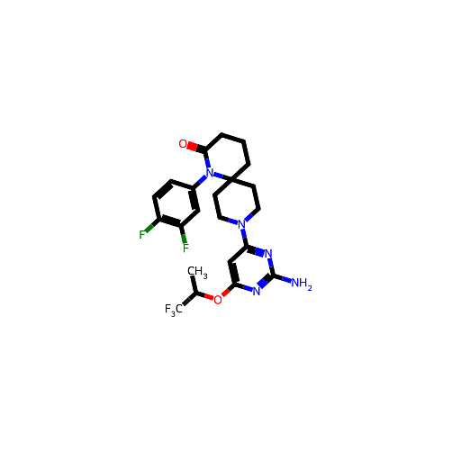 CC(Oc1cc(N2CCC3(CCCC(=O)N3c3ccc(F)c(F)c3)CC2)nc(N)n1)C(F)(F)F